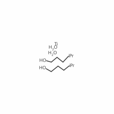 CC(C)CCCO.CC(C)CCCO.O.O.[Ti]